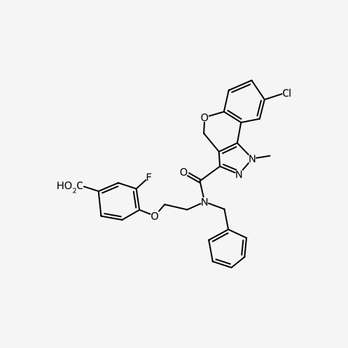 Cn1nc(C(=O)N(CCOc2ccc(C(=O)O)cc2F)Cc2ccccc2)c2c1-c1cc(Cl)ccc1OC2